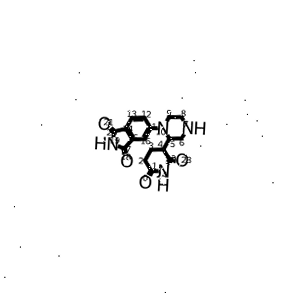 O=C1CCC(C2CNCCN2c2ccc3c(c2)C(=O)NC3=O)C(=O)N1